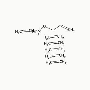 C=C.C=C.C=C.C=C.C=C.C=C.C=CCOS(=O)(=O)O